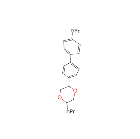 CCCc1ccc(-c2ccc(C3COC(CCC)CO3)cc2)cc1